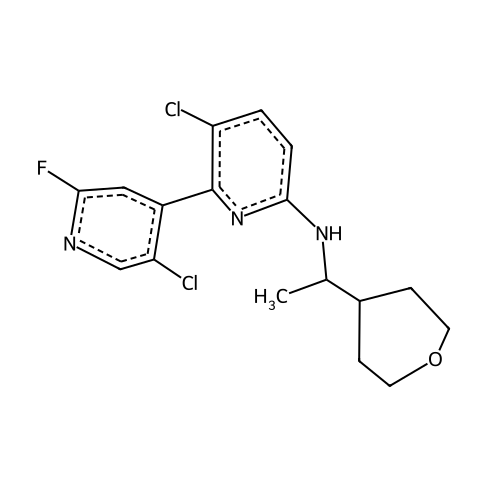 CC(Nc1ccc(Cl)c(-c2cc(F)ncc2Cl)n1)C1CCOCC1